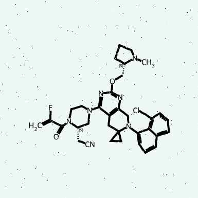 C=C(F)C(=O)N1CCN(c2nc(OC[C@@H]3CCCN3C)nc3c2CC2(CC2)N(c2cccc4cccc(Cl)c24)C3)C[C@@H]1CC#N